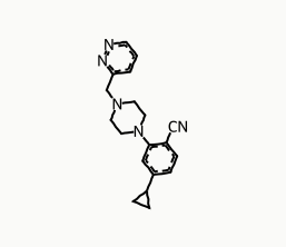 N#Cc1ccc(C2CC2)cc1N1CCN(Cc2cccnn2)CC1